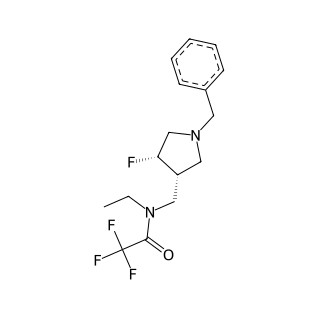 CCN(C[C@H]1CN(Cc2ccccc2)C[C@H]1F)C(=O)C(F)(F)F